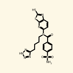 NS(=O)(=O)c1ccc(C(=O)N(CCCCc2nn[nH]n2)c2ccc3nc(S)sc3n2)cc1